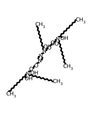 CCCCCCCCCCCCC(O)CN(CCOCCOCCN(CC(O)CCCCCCCCCCCC)CC(O)CCCCCCCCCCCC)CCN1CCN(CCOCCOCCN(CC(O)CCCCCCCCCCCC)CC(O)CCCCCCCCCCCC)CC1